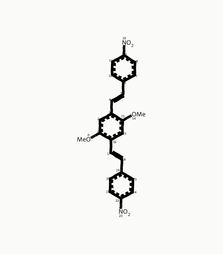 COc1cc(/C=C/c2ccc([N+](=O)[O-])cc2)c(OC)cc1/C=C/c1ccc([N+](=O)[O-])cc1